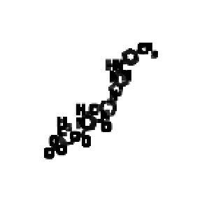 Cc1oc(=O)oc1COC(=O)c1cc(C(=O)N2CC[C@@H](N3Cc4cnc(Nc5ccc(C(F)(F)F)cc5)nc4C3)C[C@H]2C)ccn1